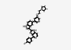 Fc1ccc(-c2nccc3[nH]c(-c4n[nH]c5ccc(-c6cncc(OCCN7CCCC7)c6)cc45)nc23)cc1